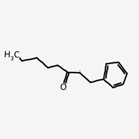 CCCCCC(=O)[CH]Cc1ccccc1